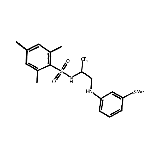 CSc1cccc(NCC(NS(=O)(=O)c2c(C)cc(C)cc2C)C(F)(F)F)c1